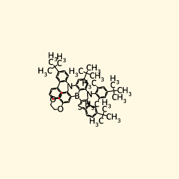 Cc1cc(C(C)(C)C)cc(C)c1N1c2cc(C(C)(C)C)cc3c2B(c2cc4c(cc2N3c2ccc(C(C)(C)C)cc2-c2ccccc2)OCCO4)c2sc3ccc(C(C)(C)C)cc3c21